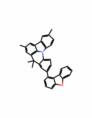 Cc1ccc2c(c1)c1cc(C)cc3c1n2-c1ccc(-c2cccc4oc5ccccc5c24)cc1C3(C)C